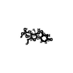 COP(=O)(O)O[C@@H]1[C@H](CF)O[C@@H](n2ccc(=O)[nH]c2=O)[C@]1(C)O